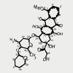 COc1cccc2c1C(=O)c1c(O)c3c(c(O)c1C2=O)C[C@](O)(C(=O)CO)CC3OC1CC(N)C(OC2CCCCO2)C(C)O1